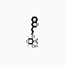 C[C@@H]1O[C@H](C)[C@@H](OC/C=C/c2cnc3ccccc3c2)[C@H](N(C)C)[C@H]1O